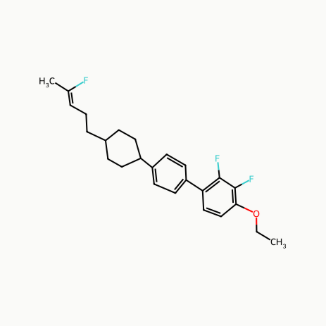 CCOc1ccc(-c2ccc(C3CCC(CC/C=C(/C)F)CC3)cc2)c(F)c1F